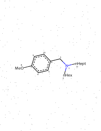 CCCCCCCN(CCCCCC)Cc1ccc(OC)cc1